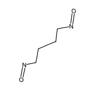 O=NCCCCN=O